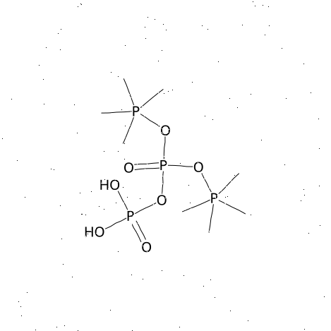 CP(C)(C)(C)OP(=O)(OP(=O)(O)O)OP(C)(C)(C)C